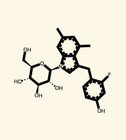 Cc1cc(C)c2c(Cc3ccc(O)cc3F)cn([C@@H]3O[C@H](CO)[C@@H](O)[C@H](O)[C@H]3O)c2c1